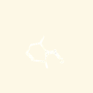 CC1[C]=CCC(C)S1=S=O